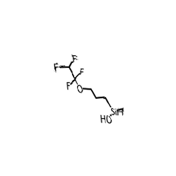 C[SiH](O)CCCOC(F)(F)C(F)F